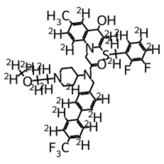 [2H]C1=C(SC([2H])([2H])c2c([2H])c([2H])c([2H])c(F)c2F)N(CC(=O)N(Cc2c([2H])c([2H])c(-c3c([2H])c([2H])c(C(F)(F)F)c([2H])c3[2H])c([2H])c2[2H])C2CCN(C([2H])([2H])C([2H])([2H])OC([2H])([2H])[2H])CC2)c2c([2H])c([2H])c(C)c([2H])c2C1O